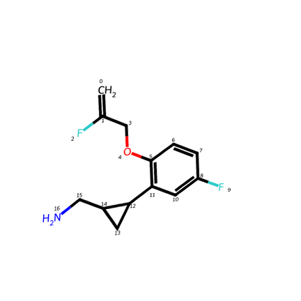 C=C(F)COc1ccc(F)cc1C1CC1CN